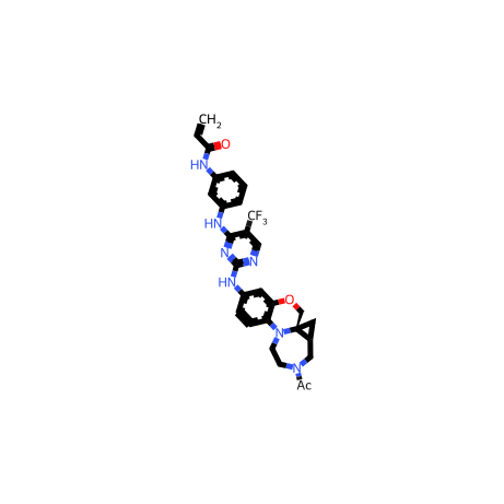 C=CC(=O)Nc1cccc(Nc2nc(Nc3c#cc4c(c3)OC[C@@]35CC3CN(C(C)=O)CCN45)ncc2C(F)(F)F)c1